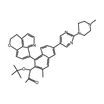 CC(=O)C(OC(C)(C)C)c1c(C)cc2cc(-c3cnc(N4CCN(C)CC4)nc3)ccc2c1-c1ccc2c3c(ccnc13)CCO2